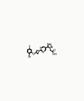 O=C(O)Cn1nnnc1-c1cnc(N2CC(Oc3cc(F)ccc3Br)C2)nc1